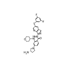 N[C@H]1CCN(c2ccc(C(=O)Nn3ncc4cc(Sc5cc(F)cc(F)c5)cnc43)c(NC3CCOCC3)c2)C1